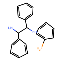 NC(c1ccccc1)C(N)c1ccccc1.Pc1ccccc1